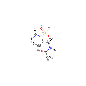 C=C(/N=C\CC)N(C[C@@H](C)N(C)C(=O)OC)S(C)(=O)=O